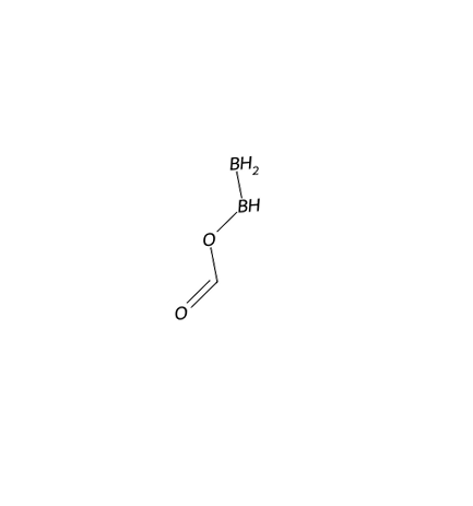 BBOC=O